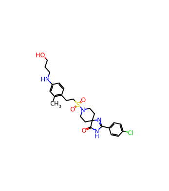 Cc1cc(NCCCO)ccc1CCS(=O)(=O)N1CCC2(CC1)N=C(c1ccc(Cl)cc1)NC2=O